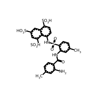 Cc1ccc(C(=O)Nc2cc(C)ccc2S(=O)(=O)Nc2ccc(S(=O)(=O)O)c3cc(S(=O)(=O)O)cc(S(=O)(=O)O)c23)c(N)c1